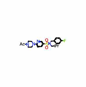 CC(=O)N1CCN(c2ccc(S(=O)(=O)N(Cc3ccc(F)cc3)CC(C)C)cn2)CC1